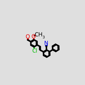 COc1cc(/C=C/c2cccc(-c3ccccc3)c2C#N)c(Cl)cc1C=O